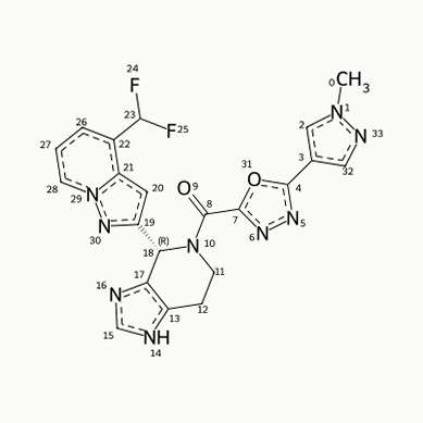 Cn1cc(-c2nnc(C(=O)N3CCc4[nH]cnc4[C@@H]3c3cc4c(C(F)F)cccn4n3)o2)cn1